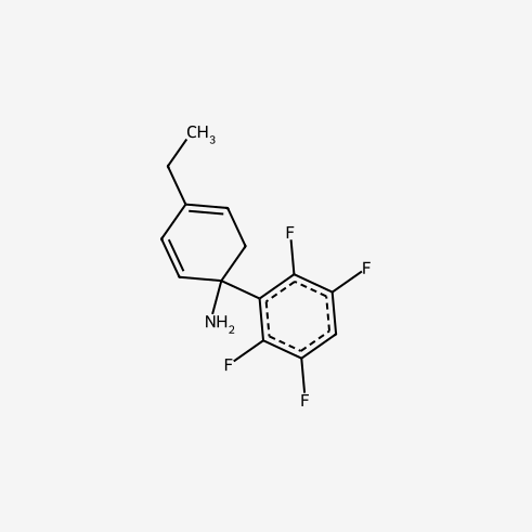 CCC1=CCC(N)(c2c(F)c(F)cc(F)c2F)C=C1